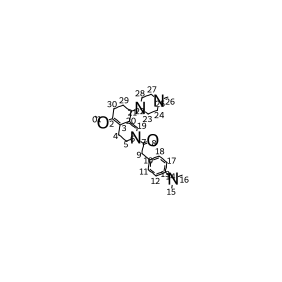 COC1=C2CCN(C(=O)Cc3ccc(N(C)C)cc3)C=C2C(N2CCN(C)CC2)CC1